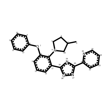 CC1CCN(c2c(Oc3ccccc3)cccc2-c2nc(-c3ccccn3)no2)C1